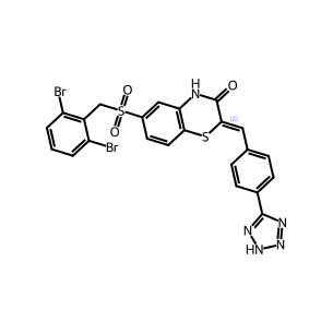 O=C1Nc2cc(S(=O)(=O)Cc3c(Br)cccc3Br)ccc2S/C1=C\c1ccc(-c2nn[nH]n2)cc1